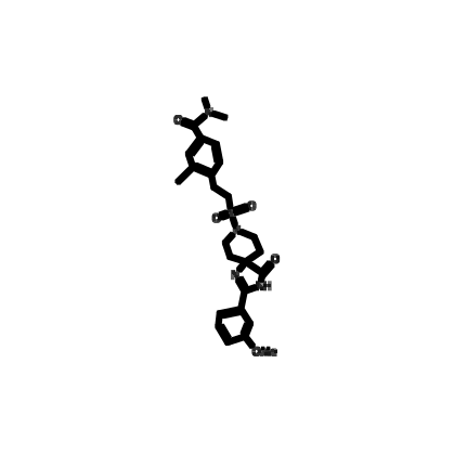 COc1cccc(C2=NC3(CCN(S(=O)(=O)CCc4ccc(C(=O)N(C)C)cc4C)CC3)C(=O)N2)c1